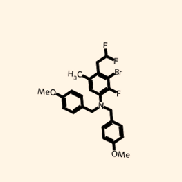 COc1ccc(CN(Cc2ccc(OC)cc2)c2cc(C)c(CC(F)F)c(Br)c2F)cc1